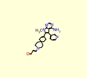 Cn1c(C2=CCC3(CC2)CCN(C=CC=O)CC3)c(-c2cccnc2)c2c(N)ncnc21